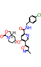 Cc1cc(-c2cnc(C(=O)NCc3ccc(Cl)cc3)cc2O[C@H]2CCN3C(=O)OC[C@@H]3C2)on1